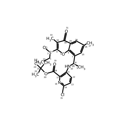 CC[S+]([O-])c1oc2c([C@@H](C)Nc3ccc(Cl)nc3C(=O)OC(C)(C)C)cc(C)cc2c(=O)c1C